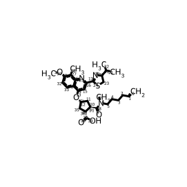 C=CCCCCN(C)C(=O)[C@@H]1C[C@H](Oc2cc(C3=NC(C(C)C)CS3)nc3c(C)c(OC)ccc23)C[C@H]1C(=O)O